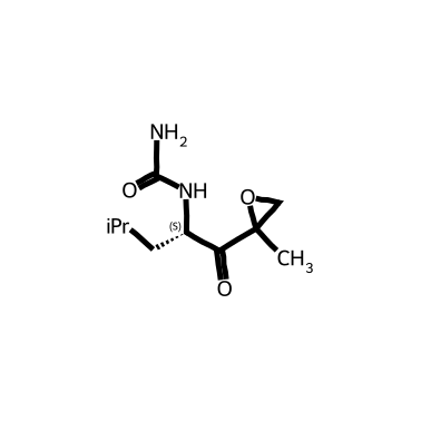 CC(C)C[C@H](NC(N)=O)C(=O)C1(C)CO1